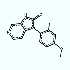 COc1ccc(-n2c(=O)[nH]c3cnccc32)c(F)c1